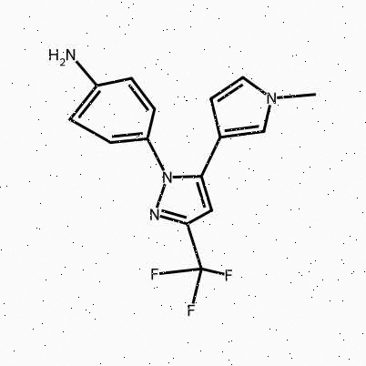 Cn1ccc(-c2cc(C(F)(F)F)nn2-c2ccc(N)cc2)c1